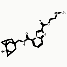 CC(C)(C)NCCOC(=O)c1cn2c(C(=O)NCC34CC5C[C@@H]5C5(CC5C3)C4)cccc2n1